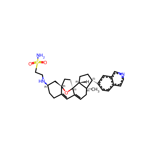 C[C@]12CC=C3C=C4CC[C@@H](NCCS(N)(=O)=O)C[C@]45CC[C@]3(O5)[C@@H]1CC[C@@H]2c1ccc2ccncc2c1